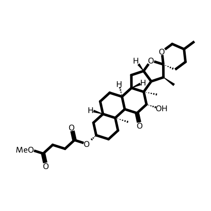 COC(=O)CCC(=O)O[C@H]1CC[C@]2(C)C3C(=O)[C@@H](O)[C@]4(C)C5[C@H](C[C@H]4[C@@H]3CC[C@H]2C1)O[C@]1(CCC(C)CO1)[C@H]5C